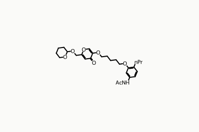 CCCc1ccc(NC(C)=O)cc1OCCCCCOc1coc(COC2CCCCO2)cc1=O